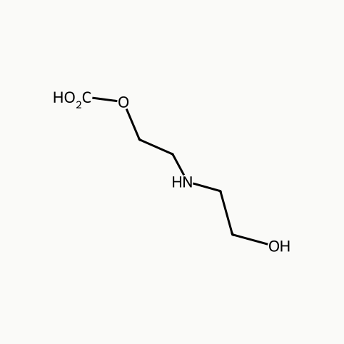 O=C(O)OCCNCCO